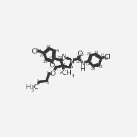 CCCCOC(=O)C1(C)CN(C(=O)Nc2ccc(Cl)cc2)N=C1c1ccc(Cl)cc1